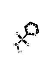 O=S(=O)(NS)c1ccccn1